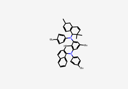 CC1C=CC2=C(C=CC(C)(C)C2N(c2ccc(C(C)(C)C)cc2)c2cc(C(C)(C)C)cc3c2Bc2ccc4ccccc4c2N3c2ccc(C(C)(C)C)cc2)C1